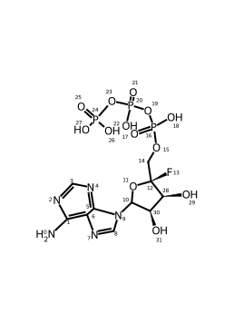 Nc1ncnc2c1ncn2C1O[C@](F)(COP(=O)(O)OP(=O)(O)OP(=O)(O)O)[C@@H](O)[C@H]1O